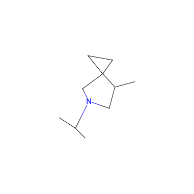 CC(C)N1CC(C)C2(CC2)C1